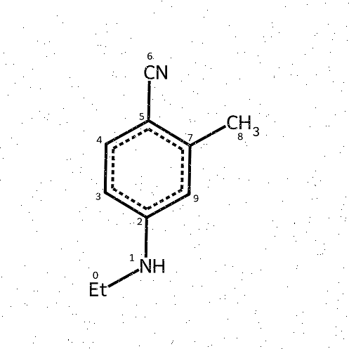 CCNc1ccc(C#N)c(C)c1